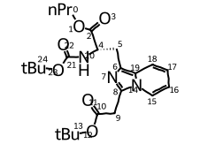 CCCOC(=O)[C@H](Cc1nc(CC(=O)OC(C)(C)C)n2ccccc12)NC(=O)OC(C)(C)C